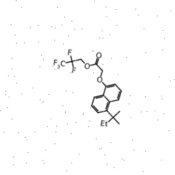 CCC(C)(C)c1cccc2c(OCC(=O)OCC(F)(F)C(F)(F)F)cccc12